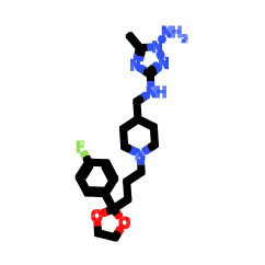 Cc1nc(NCC2CCN(CCCC3(c4ccc(F)cc4)OCCO3)CC2)nn1N